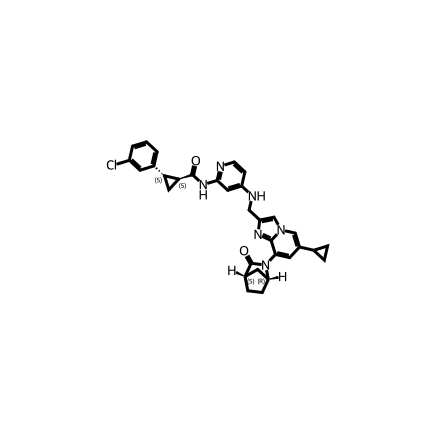 O=C(Nc1cc(NCc2cn3cc(C4CC4)cc(N4C(=O)[C@H]5CC[C@@H]4C5)c3n2)ccn1)[C@H]1C[C@@H]1c1cccc(Cl)c1